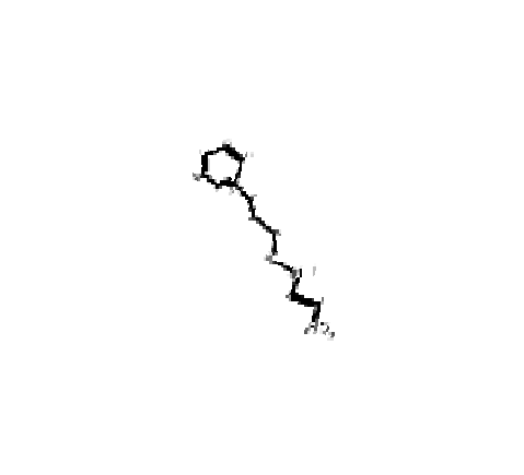 O=[N+]([O-])C=CNOCCCc1ccccc1